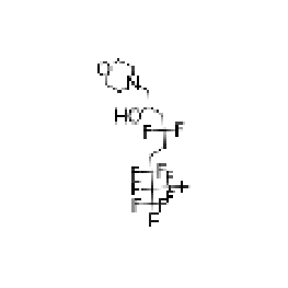 OC(CN1CCOCC1)CC(F)(F)CCC(F)(F)C(F)(C(F)(F)F)C(F)(F)F